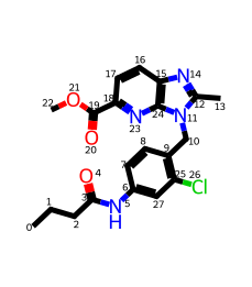 CCCC(=O)Nc1ccc(Cn2c(C)nc3ccc(C(=O)OC)nc32)c(Cl)c1